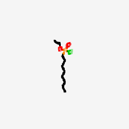 CCCCCCCCP(=O)(Cl)OCC